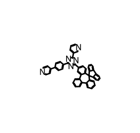 c1cncc(-c2nc(-c3ccc(-c4ccncc4)cc3)nc(-c3ccc4c(c3)-c3ccccc3-c3ccccc3C43c4ccccc4-c4ccccc43)n2)c1